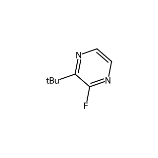 [CH2]C(C)(C)c1nccnc1F